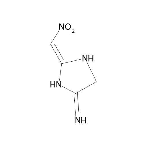 N=C1CNC(=C[N+](=O)[O-])N1